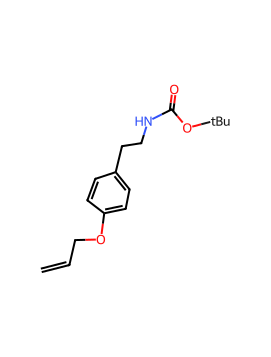 C=CCOc1ccc(CCNC(=O)OC(C)(C)C)cc1